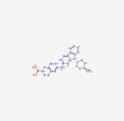 C[C@H]1CC[C@H](n2c3cnccc3c3cnc(Nc4cc5c(cn4)CN(C(=O)O)CC5)nc32)CC1